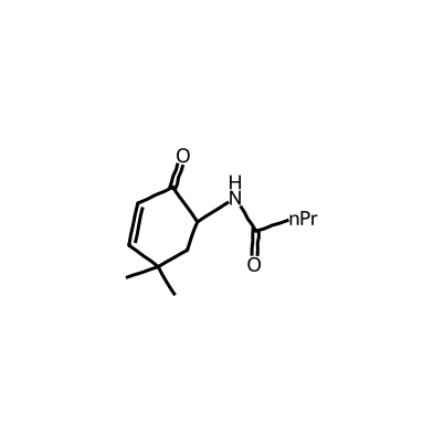 CCCC(=O)NC1CC(C)(C)C=CC1=O